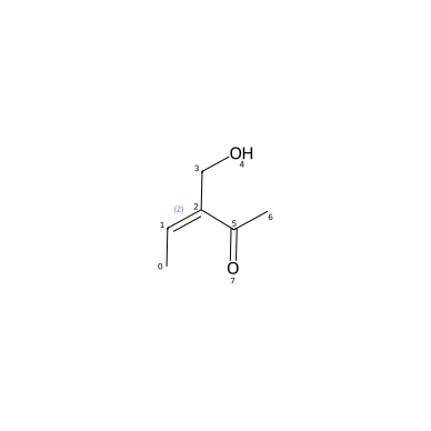 C/C=C(/CO)C(C)=O